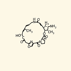 CC1=C\[C@@H](O)CC(=O)Cc2nc(co2)C(=O)N2CCC[C@@H]2C(=O)O[C@H]([C@H](C)CN)[C@H](C)/C=C/C(=O)NC\C=C\1